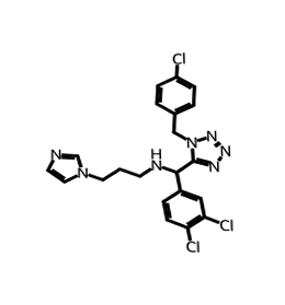 Clc1ccc(Cn2nnnc2C(NCCCn2ccnc2)c2ccc(Cl)c(Cl)c2)cc1